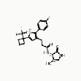 O=C(CCc1cc(C2(C(F)(F)F)CCC2)[nH]c1-c1ccc(F)cc1)N[C@@H]1C(=O)NC[C@H]1O